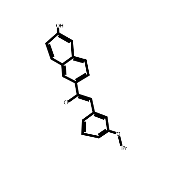 CC(C)Oc1cccc(/C=C(\Cl)c2ccc3cc(O)ccc3c2)c1